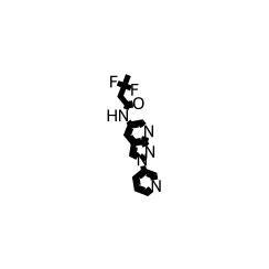 CC(F)(F)CC(=O)Nc1cnc2nn(-c3cccnc3)cc2c1